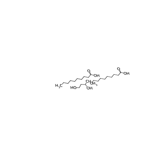 CC(O)CCO.CCCCCCCCCC(=O)O.CCCCCCCCCC(=O)O